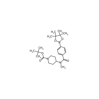 CN(C(=O)c1ccc(B2OC(C)(C)C(C)(C)O2)cc1)C1CCN(C(=O)OC(C)(C)C)CC1